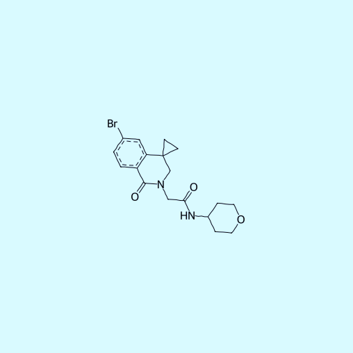 O=C(CN1CC2(CC2)c2cc(Br)ccc2C1=O)NC1CCOCC1